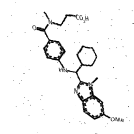 COc1ccc2nc(C(Nc3ccc(C(=O)N(C)CCC(=O)O)cc3)C3CCCCC3)n(C)c2c1